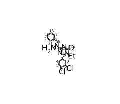 CCn1c(-c2ccc(Cl)c(Cl)c2)nc(N(N)Cc2ccccc2)nc1=O